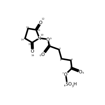 O=C(CCCC(=O)OS(=O)(=O)O)ON1C(=O)CCC1=O